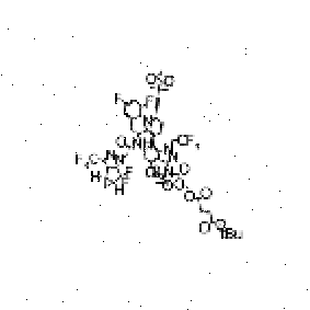 CC(C)(C)OC(=O)/C=C/C(=O)OCOC(=O)N(c1nn(CC(F)(F)F)c2c(-c3ccc(C#CC(C)(C)S(C)(=O)=O)nc3[C@H](Cc3cc(F)cc(F)c3)NC(=O)Cn3nc(C(F)(F)F)c4c3C(F)(F)[C@@H]3C[C@H]43)ccc(Cl)c12)S(C)(=O)=O